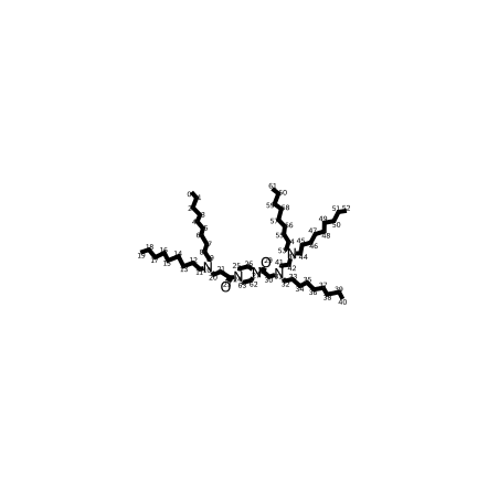 CCCCCCCCCCN(CCCCCCCCC)CCC(=O)N1CCN(C(=O)CN(CCCCCCCCC)CCN(CCCCCCCCC)CCCCCCCCC)CC1